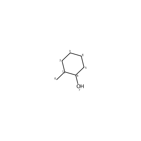 C[C]1CC[CH]CC1O